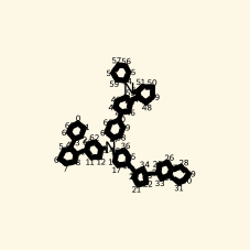 c1ccc(-c2ccccc2-c2ccc(N(c3ccc(-c4cccc(-c5ccc6ccccc6c5)c4)cc3)c3ccc(-c4ccc5c(c4)c4ccccc4n5-c4ccccc4)cc3)cc2)cc1